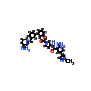 Cn1cc(-c2cnc(N)c(C(=O)N[C@@H]3CCN(C(=O)Oc4cccc(-c5cccc(CN6CCC[C@H](N)C6)c5)c4)C3)c2)cn1